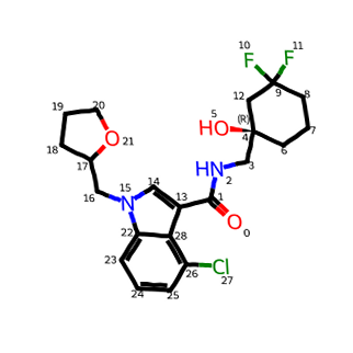 O=C(NC[C@@]1(O)CCCC(F)(F)C1)c1cn(CC2CCCO2)c2cccc(Cl)c12